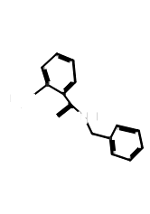 [CH2]c1ccccc1C(=O)NCc1ccccc1